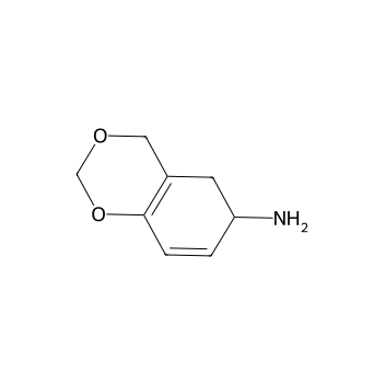 NC1C=CC2=C(COCO2)C1